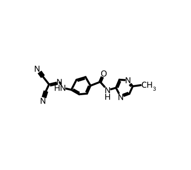 Cc1cnc(NC(=O)c2ccc(NN=C(C#N)C#N)cc2)cn1